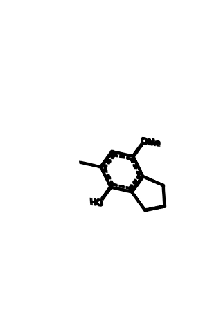 COc1cc(C)c(O)c2c1CCC2